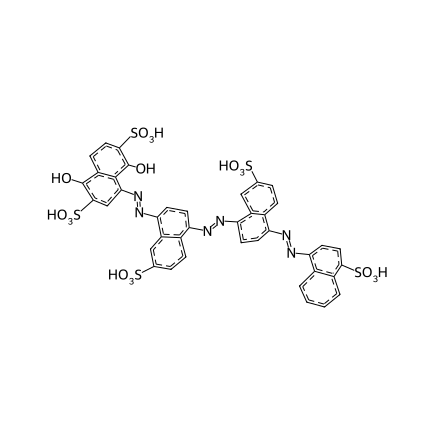 O=S(=O)(O)c1ccc2c(N=Nc3ccc(S(=O)(=O)O)c4ccccc34)ccc(N=Nc3ccc(N=Nc4cc(S(=O)(=O)O)c(O)c5ccc(S(=O)(=O)O)c(O)c45)c4cc(S(=O)(=O)O)ccc34)c2c1